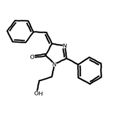 O=C1/C(=C\c2ccccc2)N=C(c2ccccc2)N1CCO